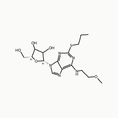 CCCSc1nc(NCCOC)c2ncn([C@@H]3O[C@H](CO)C(O)C3O)c2n1